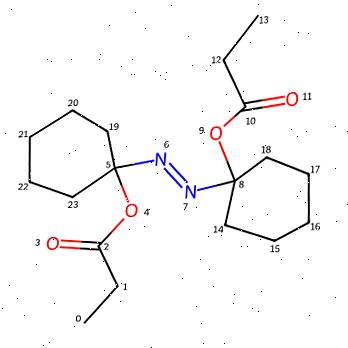 CCC(=O)OC1(N=NC2(OC(=O)CC)CCCCC2)CCCCC1